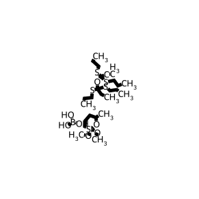 CCCSC(CC)(OC(CC)(SCCC)SCCC)SCCC.CO[Si]1(OC)CCCC(C)O1.OB(O)O